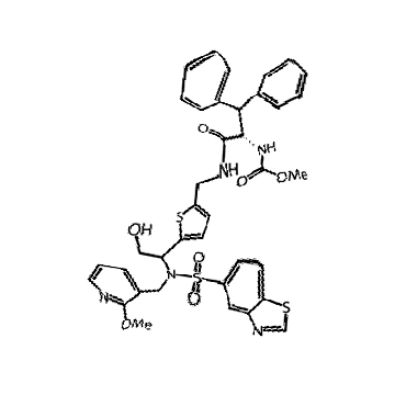 COC(=O)N[C@H](C(=O)NCc1ccc(C(CO)N(Cc2cccnc2OC)S(=O)(=O)c2ccc3scnc3c2)s1)C(c1ccccc1)c1ccccc1